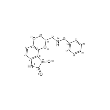 O=C1Nc2ccc3c(c2C1=O)OC(CNCc1ccccc1)CO3